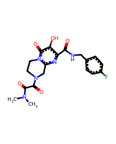 CN(C)C(=O)C(=O)N1CCn2c(nc(C(=O)NCc3ccc(F)cc3)c(O)c2=O)C1